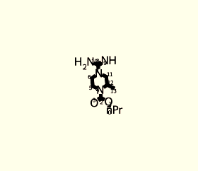 CCCOC(=O)N1CCN(C(=N)N)CC1C